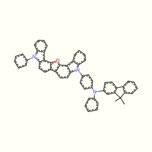 CC1(C)c2ccccc2-c2ccc(N(c3ccccc3)c3ccc(-n4c5ccccc5c5c6oc7c(ccc8c7c7ccccc7n8-c7ccccc7)c6ccc54)cc3)cc21